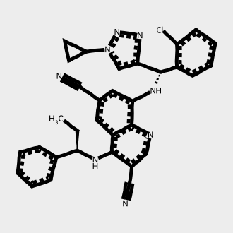 CC[C@@H](Nc1c(C#N)cnc2c(N[C@H](c3cn(C4CC4)nn3)c3ccccc3Cl)cc(C#N)cc12)c1ccccc1